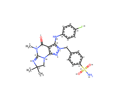 CN1C(=O)c2c(nn(Cc3ccc(S(N)(=O)=O)cc3)c2Nc2ccc(F)cc2)N2CC(C)(C)N=C12